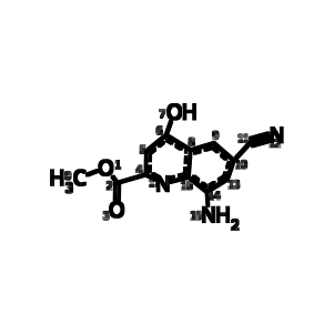 COC(=O)c1cc(O)c2cc(C#N)cc(N)c2n1